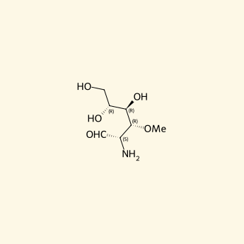 CO[C@@H]([C@H](O)[C@H](O)CO)[C@H](N)C=O